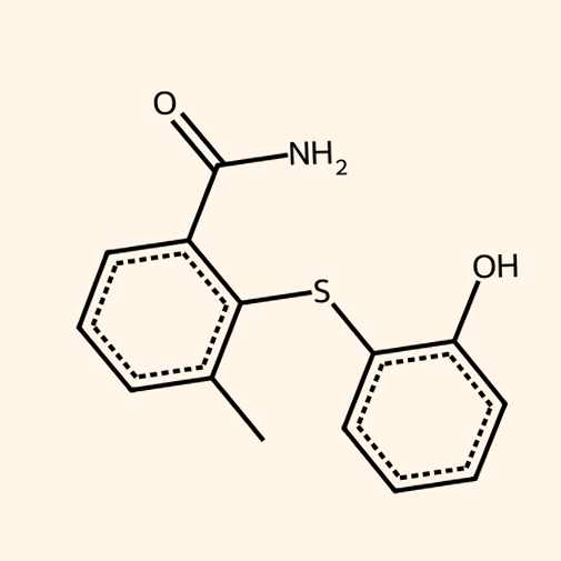 Cc1cccc(C(N)=O)c1Sc1ccccc1O